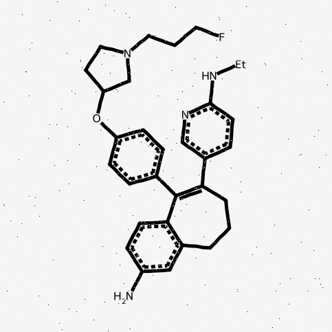 CCNc1ccc(C2=C(c3ccc(OC4CCN(CCCF)C4)cc3)c3ccc(N)cc3CCC2)cn1